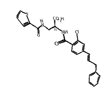 O=C(NC[C@H](NC(=O)c1ccc(C=CCc2ccccc2)cc1Cl)C(=O)O)c1cccs1